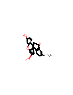 O=C(O)c1ccc2c(c1)C(=O)CC21c2ccc(O)cc2Oc2cc(O)ccc21